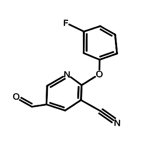 N#Cc1cc(C=O)cnc1Oc1cccc(F)c1